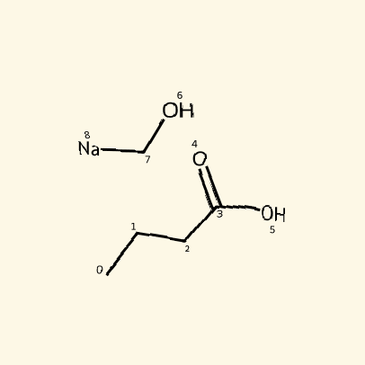 CCCC(=O)O.O[CH2][Na]